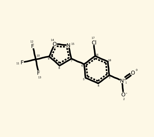 O=[N+]([O-])c1ccc(-c2cc(C(F)(F)F)on2)c(Cl)c1